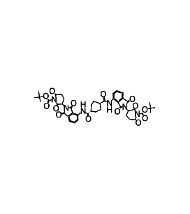 CC(C)(C)OC(=O)N1C(=O)CCC(N2C(=O)c3cccc(NC(=O)[C@H]4CC[C@H](C(=O)Nc5cccc6c5C(=O)N(C5CCC(=O)N(C(=O)OC(C)(C)C)C5=O)C6=O)CC4)c3C2=O)C1=O